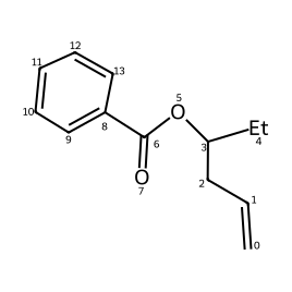 C=CCC(CC)OC(=O)c1ccccc1